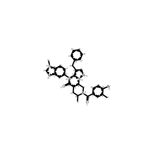 Cc1cc(C(=O)N2Cc3c(c(=O)n(-c4ccc5c(c4)ncn5C)c4c(Cc5ccccc5)cnn34)CC2C)ccc1Br